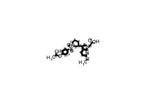 COc1ccc2c(C3CCCN(S(=O)(=O)c4ccc(OC(C)C)cc4)C3)cn(CC(=O)O)c2n1